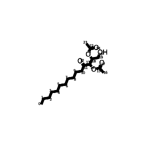 CCCCCCCCCCCC(=O)C(OC(C)=O)C(CO)OC(C)=O